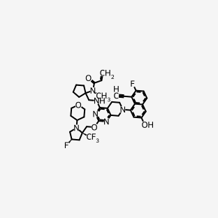 C#Cc1c(F)ccc2cc(O)cc(N3CCc4c(nc(OC[C@]5(C(F)(F)F)C[C@@H](F)CN5C5CCOCC5)nc4NCC4(N(C)C(=O)C=C)CCCC4)C3)c12